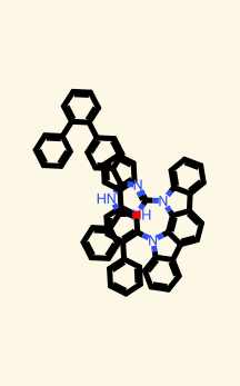 c1ccc(-c2ccc(-c3ccccc3)c(-n3c4ccccc4c4ccc5c6ccccc6n(C6=NC(c7ccc(-c8ccccc8-c8ccccc8)cc7)NC(c7ccccc7)N6)c5c43)c2)cc1